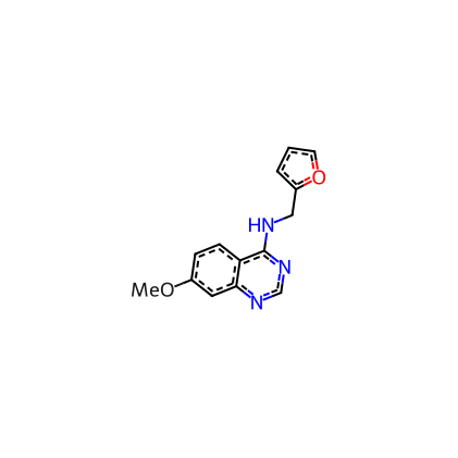 COc1ccc2c(NCc3ccco3)ncnc2c1